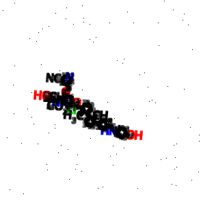 Cc1c(COc2cc(OCc3cncc(C#N)c3)c(CNC(C)(CO)C(=O)O)cc2Cl)cccc1-c1cccc(-c2ccc(CN[C@H]3CC[C@H](O)CC3)cc2)c1C